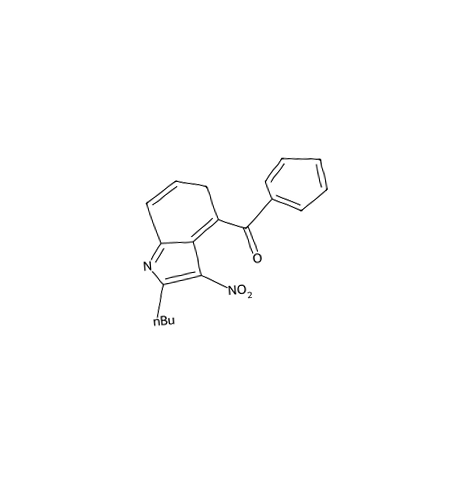 CCCCC1=C([N+](=O)[O-])C2=C(C(=O)c3ccccc3)CC=CC2=N1